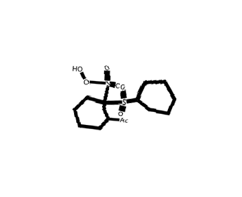 CC(=O)C1CCCCC1(S(=O)(=O)OO)S(=O)(=O)C1CCCCC1